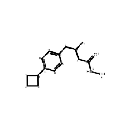 CC(CC(=O)NO)Cc1ccc(C2CCC2)cc1